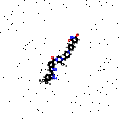 C[C@H]1CN(C(=O)c2ccc3cc(-c4n[nH]c5c4CCC(C)(C)C5)[nH]c3c2)CCN1CC1CCN(c2ccc([C@H]3CCC(=O)NC3=O)cc2)CC1